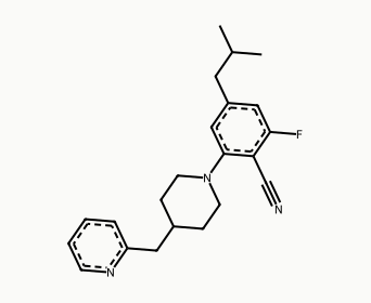 CC(C)Cc1cc(F)c(C#N)c(N2CCC(Cc3ccccn3)CC2)c1